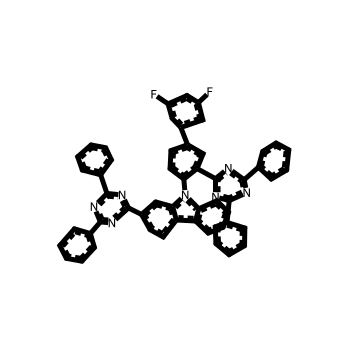 Fc1cc(F)cc(-c2ccc(-n3c4ccccc4c4ccc(-c5nc(-c6ccccc6)nc(-c6ccccc6)n5)cc43)c(-c3nc(-c4ccccc4)nc(-c4ccccc4)n3)c2)c1